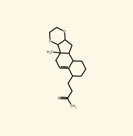 CC(=O)CCC1CCCC2C1=CCC1(C)C2CC2OCCOC21